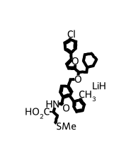 CSCC[C@H](NC(=O)c1ccc(COC(CC2CCCCC2)c2ccc(-c3ccc(Cl)cc3)o2)cc1-c1ccccc1C)C(=O)O.[LiH]